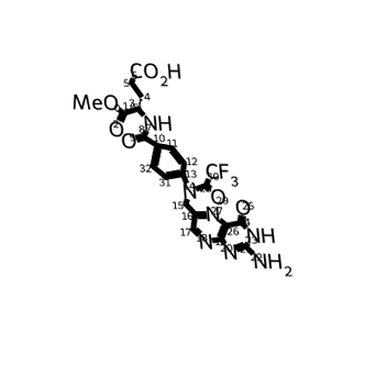 COC(=O)[C@H](CCC(=O)O)NC(=O)c1ccc(N(Cc2cnc3nc(N)[nH]c(=O)c3n2)C(=O)C(F)(F)F)cc1